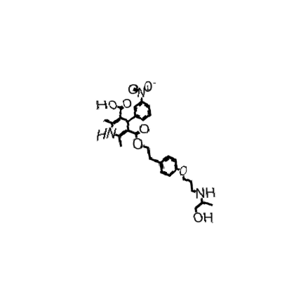 CC1=C(C(=O)O)C(c2cccc([N+](=O)[O-])c2)C(C(=O)OCCc2ccc(OCCCNC(C)CO)cc2)=C(C)N1